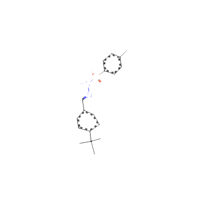 Cc1ccc(S(=O)(=O)NN=Cc2ccc(C(C)(C)C)cc2)cc1